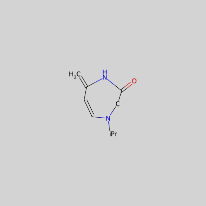 C=C1C=CN(C(C)C)CC(=O)N1